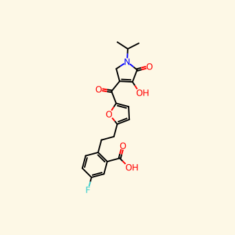 CC(C)N1CC(C(=O)c2ccc(CCc3ccc(F)cc3C(=O)O)o2)=C(O)C1=O